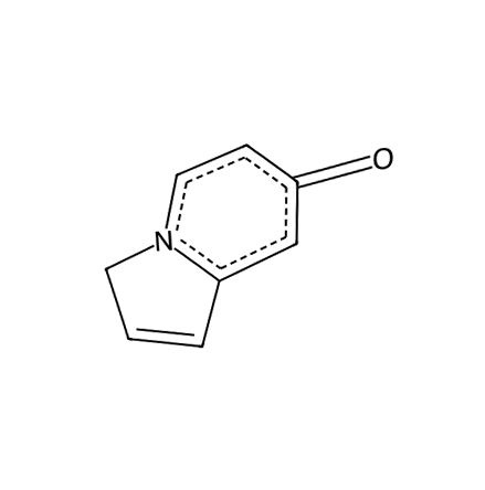 O=c1ccn2c(c1)C=CC2